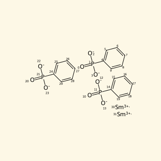 O=P([O-])([O-])c1ccccc1.O=P([O-])([O-])c1ccccc1.O=P([O-])([O-])c1ccccc1.[Sm+3].[Sm+3]